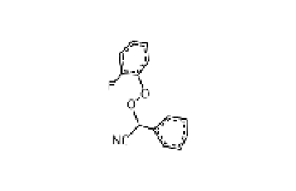 N#CC(OOc1ccccc1F)c1ccccc1